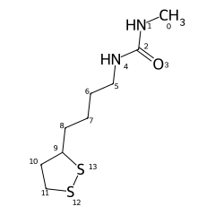 CNC(=O)NCCCCC1CCSS1